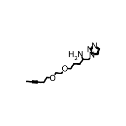 CC#CCCOCCOCCCC(N)Cn1ccnn1